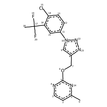 Cc1ccnc(OCc2cn(-c3ccc(Cl)c(C(C)(F)F)c3)nn2)n1